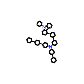 c1ccc(-c2ccc(-c3ccc(N(c4ccc(-c5ccccc5)cc4)c4cccc(-c5cccc(-c6cccc7c6c6ccccc6n7-c6ccccc6)c5)c4)cc3)cc2)cc1